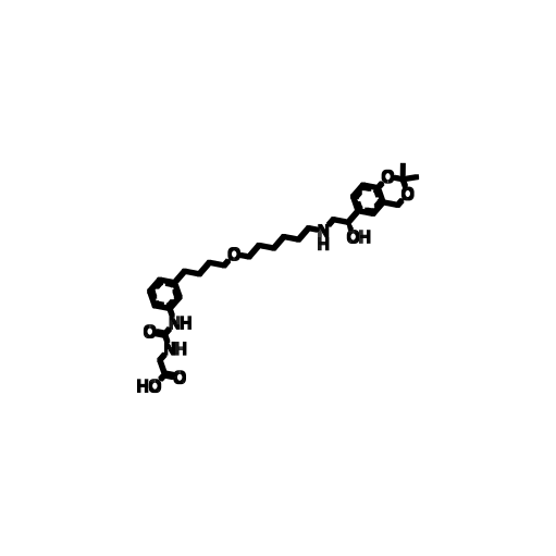 CC1(C)OCc2cc([C@@H](O)CNCCCCCCOCCCCc3cccc(NC(=O)NCC(=O)O)c3)ccc2O1